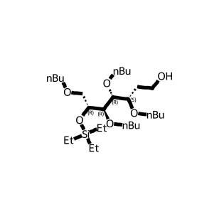 CCCCOC[C@@H](O[Si](CC)(CC)CC)[C@H](OCCCC)[C@H](OCCCC)[C@H](CCO)OCCCC